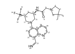 CC1(C)CCN(CC(=O)N[C@@H]2C[C@H](C(F)(F)F)CN(c3ccc(C=N)c4ncccc34)C2)C1